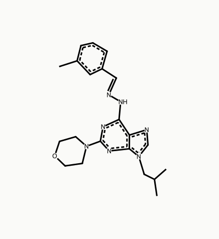 Cc1cccc(C=NNc2nc(N3CCOCC3)nc3c2ncn3CC(C)C)c1